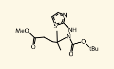 COC(=O)CCC(C)(C)N(Nc1nccs1)C(=O)OC(C)(C)C